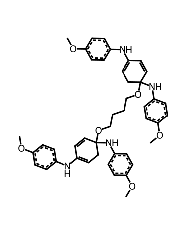 COc1ccc(NC2=CCC(Nc3ccc(OC)cc3)(OCCCCOC3(Nc4ccc(OC)cc4)C=CC(Nc4ccc(OC)cc4)=CC3)C=C2)cc1